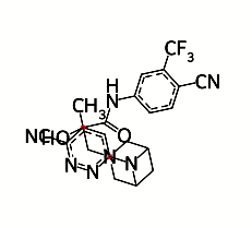 CC(O)(CN1CC2CC(C1)N2c1ccc(C#N)nn1)C(=O)Nc1ccc(C#N)c(C(F)(F)F)c1